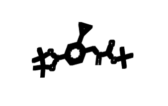 CC(C)(C)OC(=O)NCc1ccc(B2OC(C)(C)C(C)(C)O2)cc1C1CC1